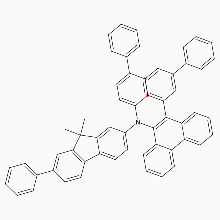 CC1(C)c2cc(-c3ccccc3)ccc2-c2ccc(N(c3ccc(-c4ccccc4)cc3)c3c(-c4cccc(-c5ccccc5)c4)c4ccccc4c4ccccc34)cc21